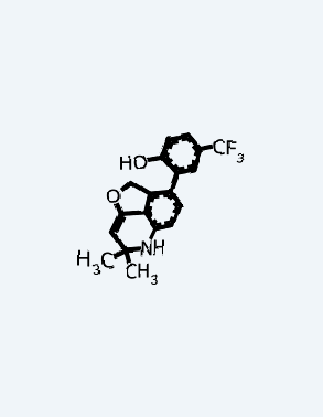 CC1(C)C=C2OCc3c(-c4cc(C(F)(F)F)ccc4O)ccc(c32)N1